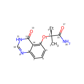 CC[C@@](C)(Oc1cccc2nc[nH]c(=O)c12)C(N)=O